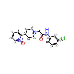 O=C(CN1CCC(c2cccc[n+]2[O-])CC1)Nc1cccc(Cl)c1